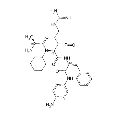 C[C@H](N)C(=O)N(C1CCCCC1)[C@H](C(=O)N[C@@H](Cc1ccccc1)C(=O)Nc1ccc(N)nc1)C(=C=O)CCNC(=N)N